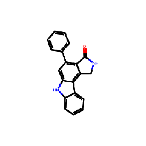 O=C1NCc2c1c(-c1ccccc1)cc1[nH]c3ccccc3c21